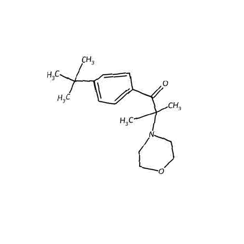 CC(C)(C)c1ccc(C(=O)C(C)(C)N2CCOCC2)cc1